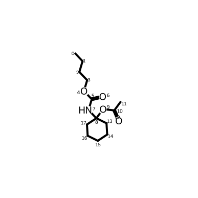 CCCCOC(=O)NC1(OC(C)=O)CCCCC1